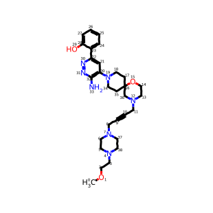 COCCN1CCN(CC#CCN2CCOC3(CCN(c4cc(-c5ccccc5O)nnc4N)CC3)C2)CC1